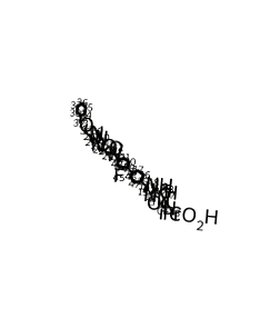 CC(C)[C@H](NC(=O)O)C(=O)N1CCC[C@H]1c1ncc(-c2ccc(-c3ccc(N4C[C@@H](Cn5cc(COCc6ccccc6)nn5)OO4)cc3F)cc2)[nH]1